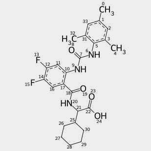 Cc1cc(C)c(NC(=O)Nc2cc(F)c(F)cc2C(=O)NC(C(=O)O)C2CCCCC2)c(C)c1